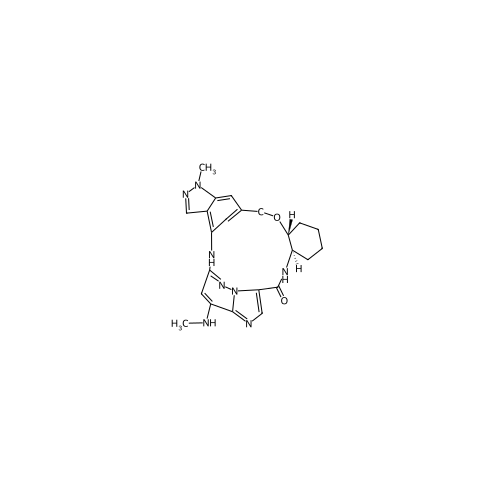 CNc1cc2nn3c(cnc13)C(=O)N[C@@H]1CCCC[C@H]1OCc1cc(c3cnn(C)c3c1)N2